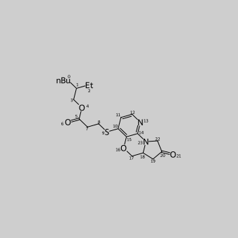 CCCCC(CC)COC(=O)CCSc1ccnc2c1OCC1CC(=O)CN21